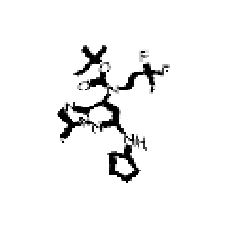 CC(C)(C)OC(=O)N(CCC(F)(F)F)c1cc(NC2CCCC2)nn2c(I)cnc12